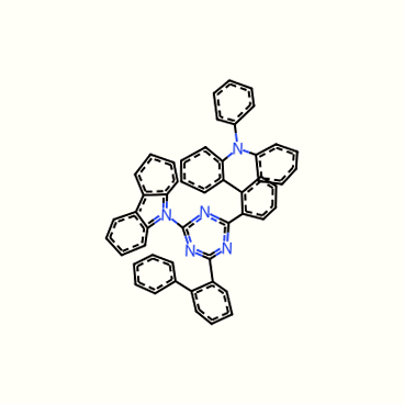 c1ccc(-c2ccccc2-c2nc(-c3ccccc3-c3ccccc3N(c3ccccc3)c3ccccc3)nc(-n3c4ccccc4c4ccccc43)n2)cc1